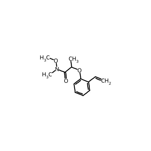 C=Cc1ccccc1OC(C)C(=O)N(C)OC